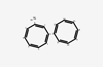 C1=C\C=C/C=C\C=C/1.C1=C\C=C/C=C\C=C/1.[Ti]